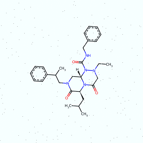 CCN1CC(=O)N2[C@@H](CC(C)C)C(=O)N(CC(C)c3ccccc3)C[C@@H]2N1C(=O)NCc1ccccc1